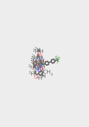 [2H]c1c(C)c([2H])c2c(c1[2H])c(=O)c([2H])c(SC([2H])([2H])c1cccc(F)c1F)n2CC(=O)N(C([2H])([2H])c1ccc(-c2ccc(C(F)(F)F)cc2)cc1)C1([2H])C([2H])([2H])C([2H])([2H])N(C([2H])([2H])COC([2H])([2H])[2H])C([2H])([2H])C1([2H])[2H]